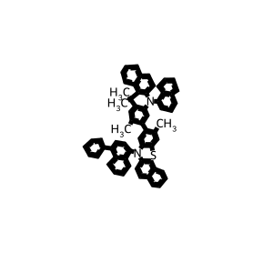 Cc1cc2c(cc1-c1cc3c(cc1C)C(C)(C)c1c(ccc4ccccc14)N3c1cccc3ccccc13)N(c1ccc(-c3ccccc3)c3ccccc13)c1ccc3ccccc3c1S2